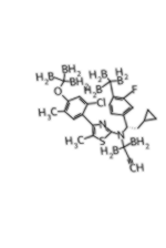 BC(B)(B)Oc1cc(Cl)c(-c2nc(N([C@@H](CC3CC3)c3ccc(C(B)(B)B)c(F)c3)C(B)(B)C#C)sc2C)cc1C